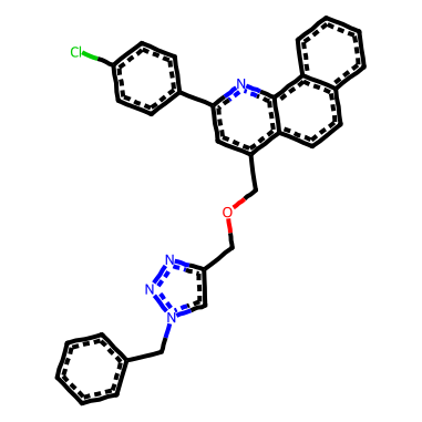 Clc1ccc(-c2cc(COCc3cn(Cc4ccccc4)nn3)c3ccc4ccccc4c3n2)cc1